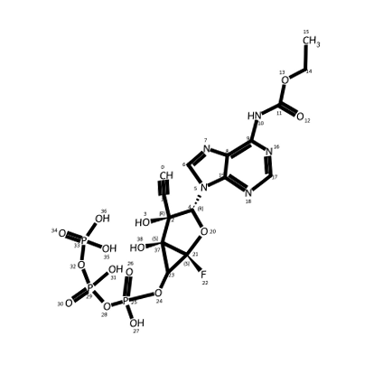 C#C[C@]1(O)[C@H](n2cnc3c(NC(=O)OCC)ncnc32)O[C@]2(F)C(OP(=O)(O)OP(=O)(O)OP(=O)(O)O)[C@@]21O